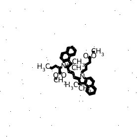 CCCC(C(=O)OC)[N+]1=C(/C=C/C=C2\N(CCCCC(=O)OC)c3ccc4ccccc4c3C2(C)C)C(C)(C)c2c1ccc1ccccc21